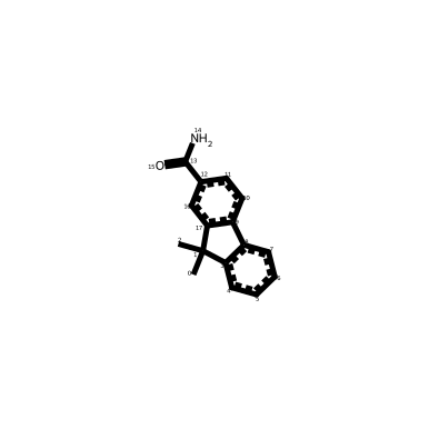 CC1(C)c2ccccc2-c2ccc(C(N)=O)cc21